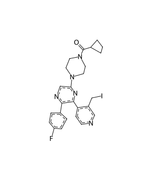 O=C(C1CCC1)N1CCN(c2cnc(-c3ccc(F)cc3)c(-c3ccncc3CI)n2)CC1